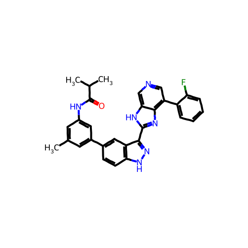 Cc1cc(NC(=O)C(C)C)cc(-c2ccc3[nH]nc(-c4nc5c(-c6ccccc6F)cncc5[nH]4)c3c2)c1